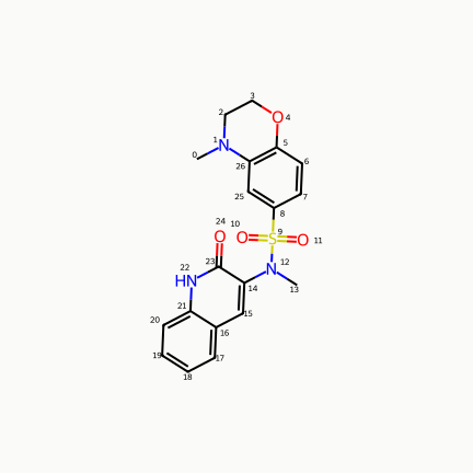 CN1CCOc2ccc(S(=O)(=O)N(C)c3cc4ccccc4[nH]c3=O)cc21